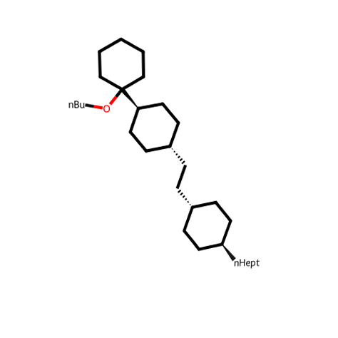 CCCCCCC[C@H]1CC[C@H](CC[C@H]2CC[C@H](C3(OCCCC)CCCCC3)CC2)CC1